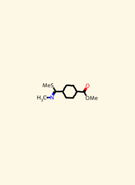 CN=C(SC)C1CCC(C(=O)OC)CC1